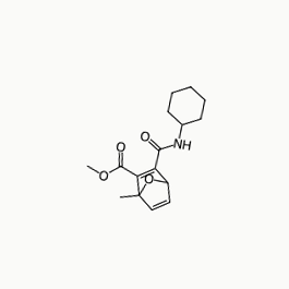 COC(=O)C1=C(C(=O)NC2CCCCC2)C2C=CC1(C)O2